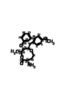 COc1ccc(C[C@H]2OCC[C@H](N)C(=O)O[C@@H](C)[C@@H]2Oc2ccccc2)cc1